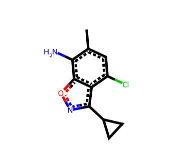 Cc1cc(Cl)c2c(C3CC3)noc2c1N